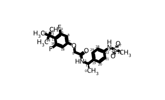 C[C@@H](NC(=O)COc1cc(F)c(C(C)(C)C)c(F)c1)c1ccc(NS(C)(=O)=O)cc1